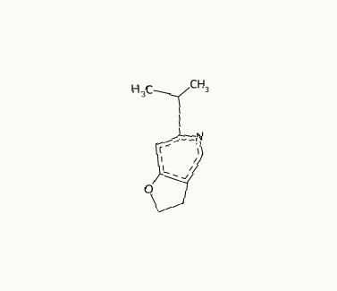 CC(C)c1cc2c(cn1)CCO2